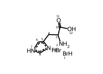 Br.Br.NC(Cc1c[nH]cn1)C(=O)O